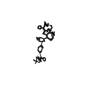 CN1CCn2c(cc3c(-c4cncc(-c5ccc(C(=O)N6CC(C)(C)C6)cc5)c4)ccnc32)C1=O